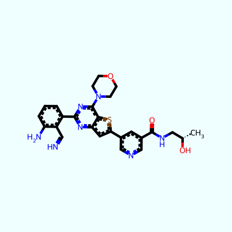 C[C@H](O)CNC(=O)c1cncc(-c2cc3nc(-c4cccc(N)c4C=N)nc(N4CCOCC4)c3s2)c1